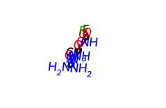 COc1nc(Nc2ccc(C(=O)CC(=O)Nc3ccc4c(c3)OC(F)(F)O4)cc2)nc(N2C[C@H](N)C[C@H](N)C2)n1